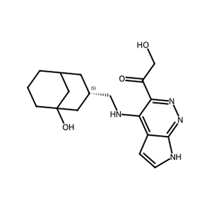 O=C(CO)c1nnc2[nH]ccc2c1NC[C@H]1CC2CCCC(O)(C2)C1